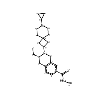 CC[C@@H]1Cc2ncc(C(=O)NO)cc2CN1C1CC2(CCN(C3CC3)CC2)C1